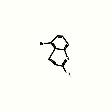 Cc1ccc2c(Br)cccc2n1